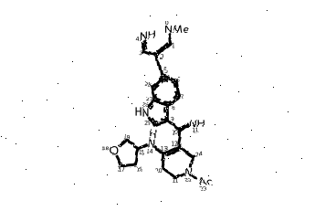 CN/C=C(\C=N)c1ccc2c(C(=N)C3=C(NC4CCOC4)CCN(C(C)=O)C3)c[nH]c2c1